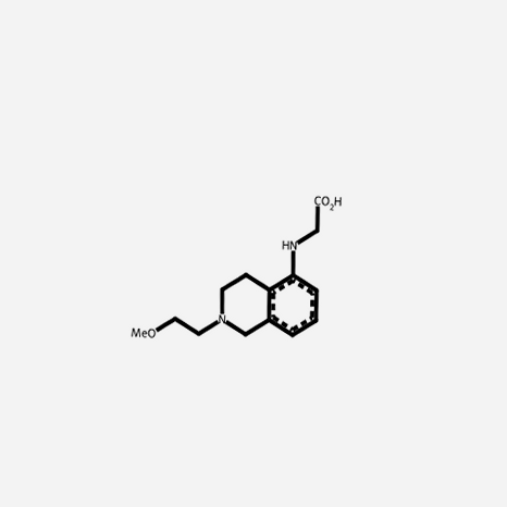 COCCN1CCc2c(cccc2NCC(=O)O)C1